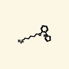 CCCCCCOc1c[c]ccc1[SH]1C=CC=C1